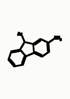 CC(=O)C1c2ccccc2-c2ccc(N)cc21